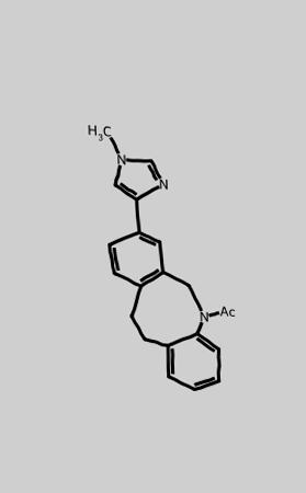 CC(=O)N1Cc2cc(-c3cn(C)cn3)ccc2CCc2ccccc21